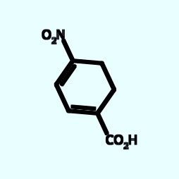 O=C(O)C1=CC=C([N+](=O)[O-])CC1